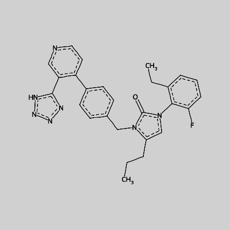 CCCc1cn(-c2c(F)cccc2CC)c(=O)n1Cc1ccc(-c2ccncc2-c2nnn[nH]2)cc1